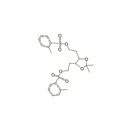 Cc1ccccc1S(=O)(=O)OCCC1OC(C)(C)OC1CCOS(=O)(=O)c1ccccc1C